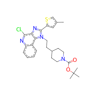 Cc1csc(-c2nc3c(Cl)nc4ccccc4c3n2CCC2CCN(C(=O)OC(C)(C)C)CC2)c1